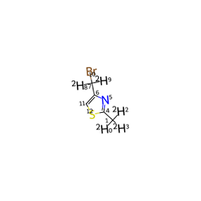 [2H]C([2H])([2H])c1nc(C([2H])([2H])Br)cs1